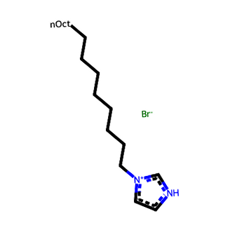 CCCCCCCCCCCCCCCC[n+]1cc[nH]c1.[Br-]